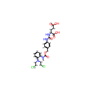 CN(C(=O)OCc1ccc(NC(=O)NC(CCC(=O)O)C(=O)O)cc1)c1ccccc1N(CCCl)CCCl